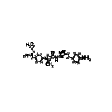 C=CCCN(CCC)Cc1ccc(N2CC(C(=O)Nc3nnc(CCc4ccc(N)cc4)s3)CC2=C)cc1